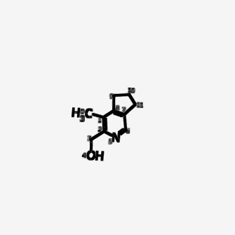 Cc1c(CO)ncc2c1CCC2